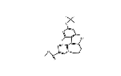 COC(=O)c1ccc2c(c1)CCCC(Br)=C2c1c(F)cc(OC(C)(C)C)cc1F